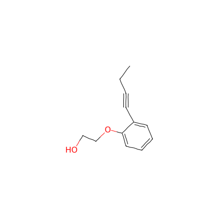 CCC#Cc1ccccc1OCCO